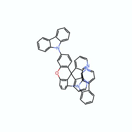 c1cc2c(c(-n3c4ccccc4c4ccncc43)c1)C1(c3ccc(-n4c5ccccc5c5ccccc54)cc3O2)c2cccnc2-c2ncccc21